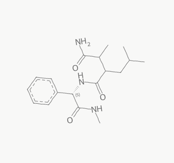 CNC(=O)[C@@H](NC(=O)C(CC(C)C)C(C)C(N)=O)c1ccccc1